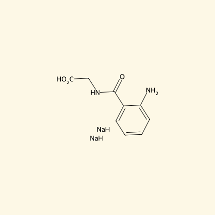 Nc1ccccc1C(=O)NCC(=O)O.[NaH].[NaH]